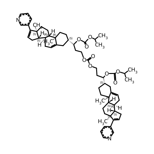 CC(C)OC(=O)OC(CCOC(=O)OCCC(OC(=O)OC(C)C)[C@H]1CC[C@@]2(C)C(=CC[C@@H]3[C@@H]2CC[C@]2(C)C(c4cccnc4)=CC[C@@H]32)C1)[C@H]1CC[C@@]2(C)C(=CC[C@@H]3[C@@H]2CC[C@]2(C)C(c4cccnc4)=CC[C@@H]32)C1